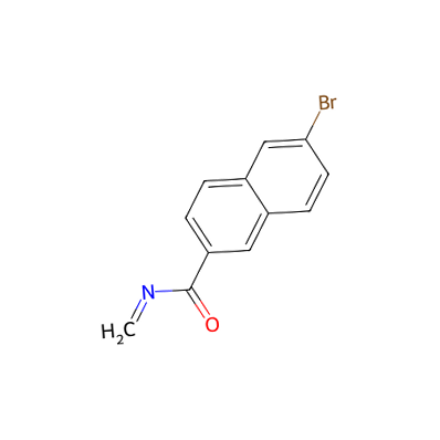 C=NC(=O)c1ccc2cc(Br)ccc2c1